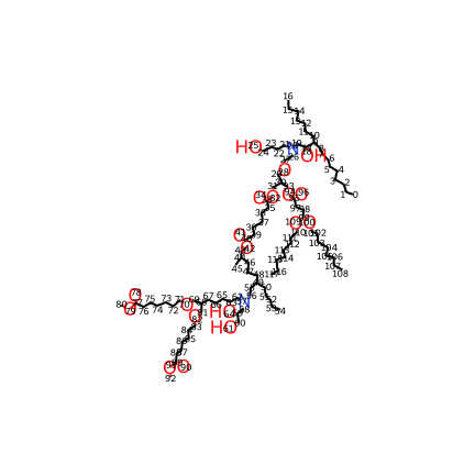 CCCCCCCCCC(CCCCCCC)[C@@H](O)CN(CCCCO)CCOCC(COC(=O)CCCCCC(=O)OCC(C)CCCC(CCCCC)CCN(CCCO)C[C@H](O)CCCC(COCCCCCCC(=O)OC)COCCCCCCC(=O)OC)COC(=O)CCC(OCCCCCCCC)OCCCCCCCC